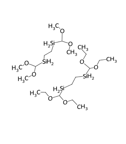 CCOC(OCC)[SiH2]CC[SiH2]C(OCC)OCC.COC(OC)[SiH2]CC[SiH2]C(OC)OC